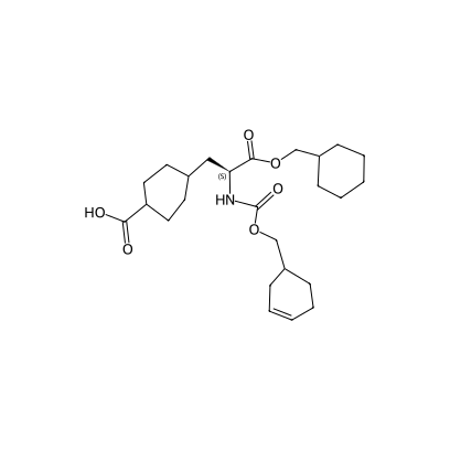 O=C(N[C@@H](CC1CCC(C(=O)O)CC1)C(=O)OCC1CCCCC1)OCC1CC=CCC1